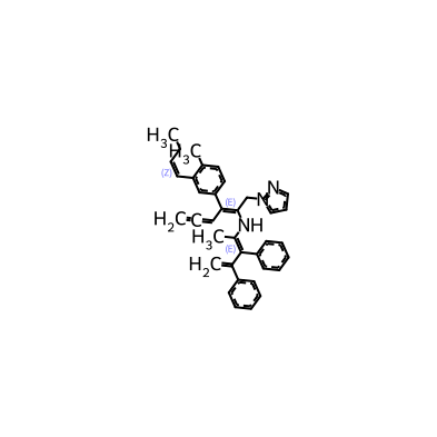 C=C=C/C(=C(/Cn1cccn1)N/C(C)=C(/C(=C)c1ccccc1)c1ccccc1)c1ccc(C)c(/C=C\CC)c1